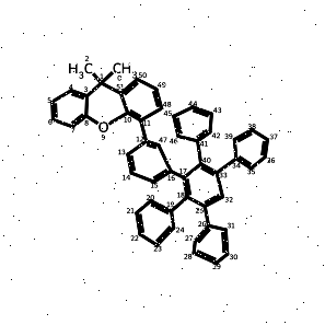 CC1(C)c2ccccc2Oc2c(-c3cccc(-c4c(-c5ccccc5)c(-c5ccccc5)cc(-c5ccccc5)c4-c4ccccc4)c3)cccc21